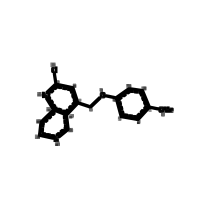 COc1ccc(OCc2cc(Cl)nc3ccncc23)cc1